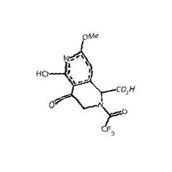 COc1cc2c(c(O)n1)C(=O)CN(C(=O)C(F)(F)F)C2C(=O)O